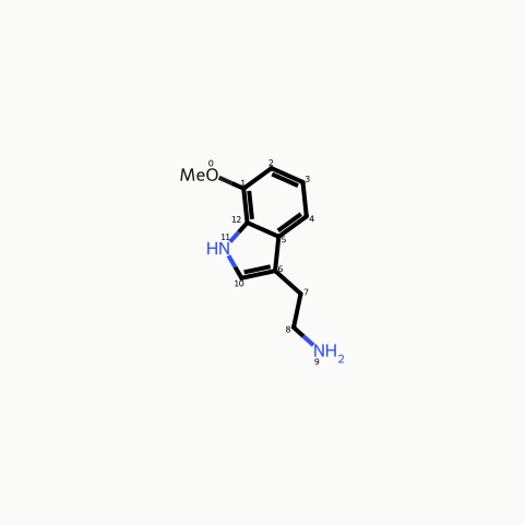 COc1cccc2c(CCN)c[nH]c12